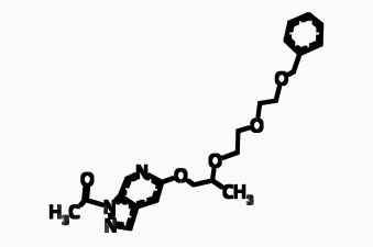 CC(=O)n1ncc2cc(OCC(C)OCCOCCOCc3ccccc3)ncc21